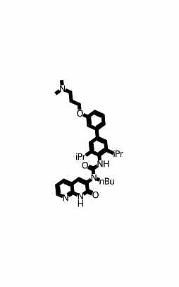 CCCCN(C(=O)Nc1c(C(C)C)cc(-c2cccc(OCCCN(C)C)c2)cc1C(C)C)c1cc2cccnc2[nH]c1=O